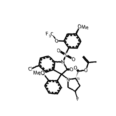 C=C(C)OC(=O)[C@@H]1CC(F)CN1C1(c2ccccc2OC)C(=O)N(S(=O)(=O)c2ccc(OC)cc2OC(F)(F)F)c2ccc(Cl)cc21